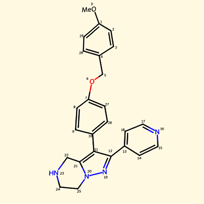 COc1ccc(COc2ccc(-c3c(-c4ccncc4)nn4c3CNCC4)cc2)cc1